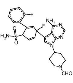 Nc1ncnc2c1c(C1(F)C=CC(S(N)(=O)=O)C(c3ccccc3F)=C1)cn2C1CCN(C=O)CC1